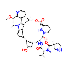 CCn1c(-c2cccnc2[C@H](C)OC)c2c3cc(ccc31)-c1cc(O)cc(c1)C[C@H](NC(=O)[C@H](C(C)C)N(C)C(=O)[C@@]1(C)CCNC1)C(=O)N1CCC[C@H](N1)C(=O)OCC(C)(C)C2